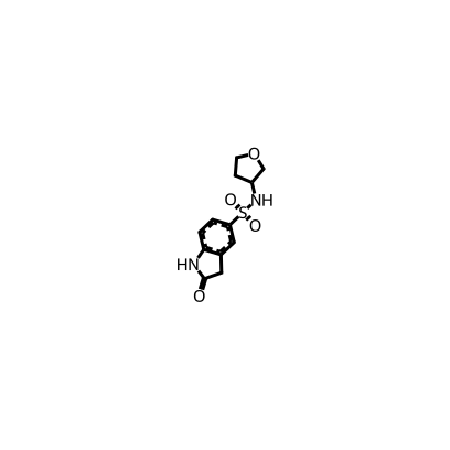 O=C1Cc2cc(S(=O)(=O)NC3CCOC3)ccc2N1